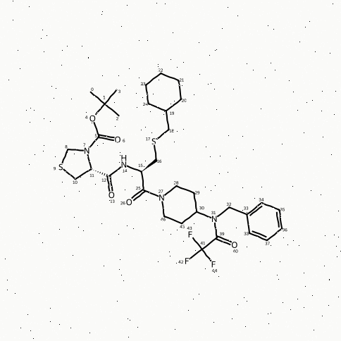 CC(C)(C)OC(=O)N1CSC[C@H]1C(=O)N[C@@H](CSCC1CCCCC1)C(=O)N1CCC(N(Cc2ccccc2)C(=O)C(F)(F)F)CC1